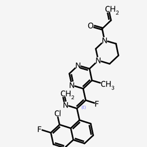 C=CC(=O)N1CCCN(c2ncnc(/C(F)=C(\N=C)c3cccc4ccc(F)c(Cl)c34)c2C)C1